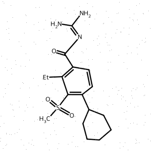 CCc1c(C(=O)N=C(N)N)ccc(C2CCCCC2)c1S(C)(=O)=O